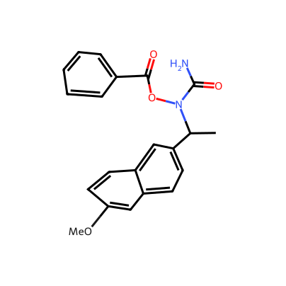 COc1ccc2cc(C(C)N(OC(=O)c3ccccc3)C(N)=O)ccc2c1